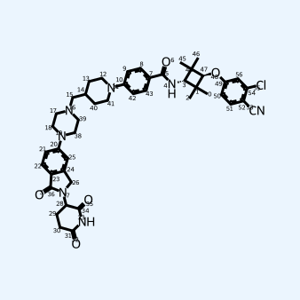 CC1(C)[C@H](NC(=O)c2ccc(N3CCC(CN4CCN(c5ccc6c(c5)CN(C5CCC(=O)NC5=O)C6=O)CC4)CC3)cc2)C(C)(C)[C@H]1Oc1ccc(C#N)c(Cl)c1